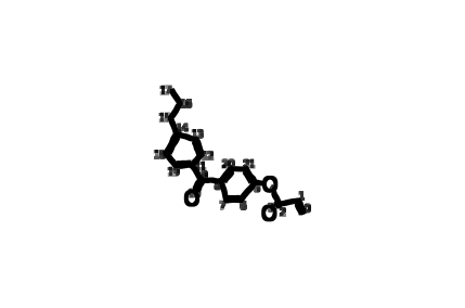 C=CC(=O)Oc1ccc(C(=O)c2ccc(CCC)cc2)cc1